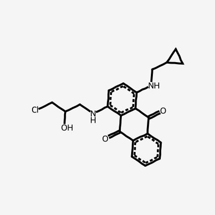 O=C1c2ccccc2C(=O)c2c(NCC3CC3)ccc(NCC(O)CCl)c21